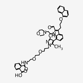 Cc1nn(CCCOCCOCCNC(=O)c2ccccc2C(=O)O)c(C)c1-c1cccc2c(CCCOc3cccc4ccccc34)c(C=O)n(CCN3CCOCC3)c12